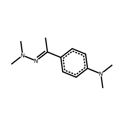 CC(=NN(C)C)c1ccc(N(C)C)cc1